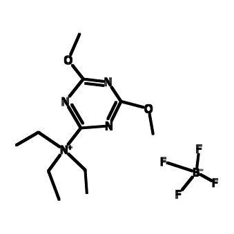 CC[N+](CC)(CC)c1nc(OC)nc(OC)n1.F[B-](F)(F)F